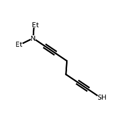 CCN(C#CCCC#CS)CC